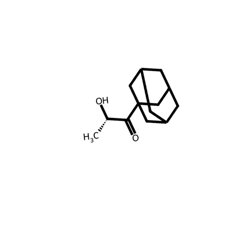 C[C@H](O)C(=O)C12CC3CC(CC(C3)C1)C2